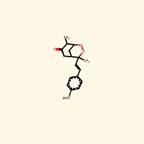 COc1ccc(C=CC2(C)OOC3CC2CC(=O)C3C)cc1